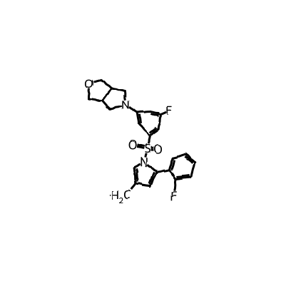 [CH2]c1cc(-c2ccccc2F)n(S(=O)(=O)c2cc(F)cc(N3CC4COCC4C3)c2)c1